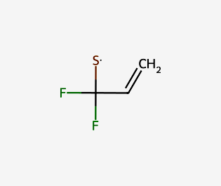 C=CC(F)(F)[S]